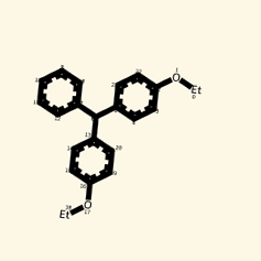 CCOc1ccc([C](c2ccccc2)c2ccc(OCC)cc2)cc1